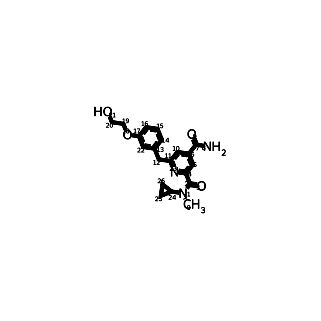 CN(C(=O)c1cc(C(N)=O)cc(Cc2cccc(OCCO)c2)n1)C1CC1